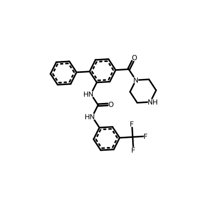 O=C(Nc1cccc(C(F)(F)F)c1)Nc1cc(C(=O)N2CCNCC2)ccc1-c1ccccc1